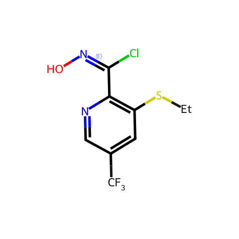 CCSc1cc(C(F)(F)F)cnc1/C(Cl)=N\O